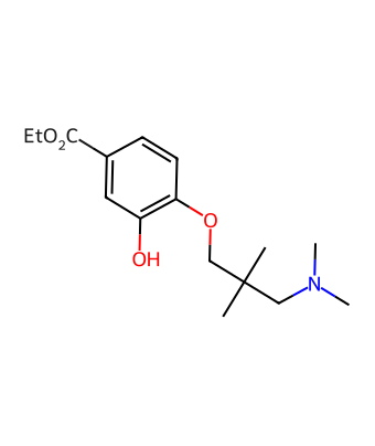 CCOC(=O)c1ccc(OCC(C)(C)CN(C)C)c(O)c1